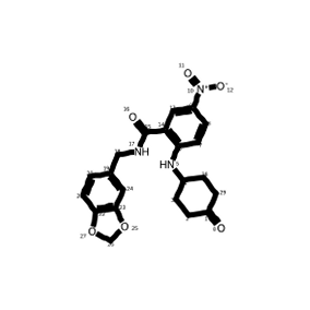 O=C1CCC(Nc2ccc([N+](=O)[O-])cc2C(=O)NCc2ccc3c(c2)OCO3)CC1